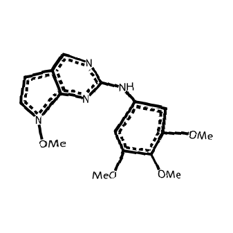 COc1cc(Nc2ncc3ccn(OC)c3n2)cc(OC)c1OC